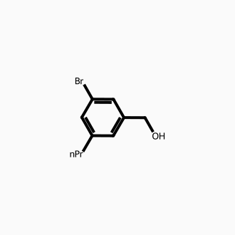 CCCc1cc(Br)cc(CO)c1